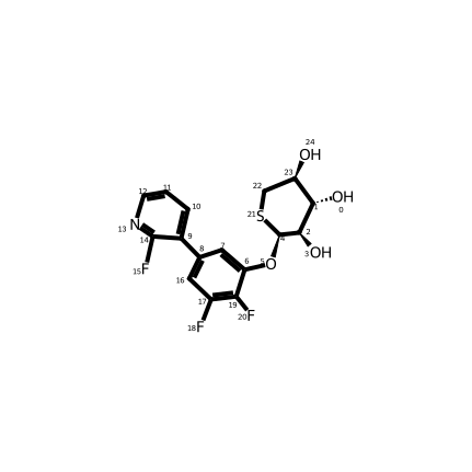 O[C@@H]1[C@@H](O)[C@@H](Oc2cc(-c3cccnc3F)cc(F)c2F)SC[C@H]1O